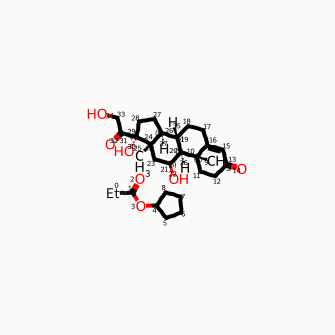 CCC(=O)OC1CCCC1.C[C@]12CCC(=O)C=C1CC[C@@H]1[C@@H]2[C@@H](O)C[C@@]2(C)[C@H]1CC[C@]2(O)C(=O)CO